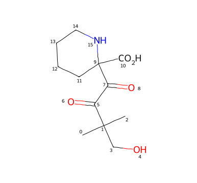 CC(C)(CO)C(=O)C(=O)C1(C(=O)O)CCCCN1